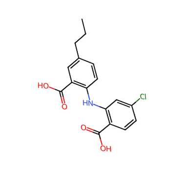 CCCc1ccc(Nc2cc(Cl)ccc2C(=O)O)c(C(=O)O)c1